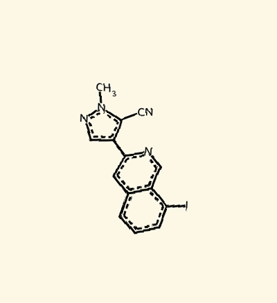 Cn1ncc(-c2cc3cccc(I)c3cn2)c1C#N